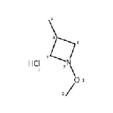 CON1CC(C)C1.Cl